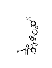 N#Cc1ccc(OC2CCN(c3nc(C(=O)Nc4ccncc4C(=O)NCCCF)co3)CC2)nc1